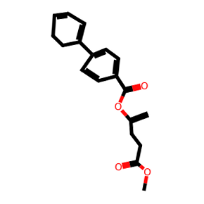 C=C(CCC(=O)OC)OC(=O)c1ccc(C2=CC=CCC2)cc1